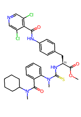 COC(=O)[C@H](Cc1ccc(NC(=O)c2c(Cl)cncc2Cl)cc1)NC(=S)N(C)c1ccccc1C(=O)N(C)C1CCCCC1